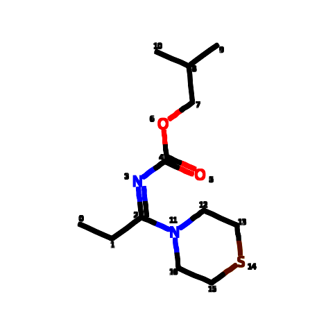 CC/C(=N/C(=O)OCC(C)C)N1CCSCC1